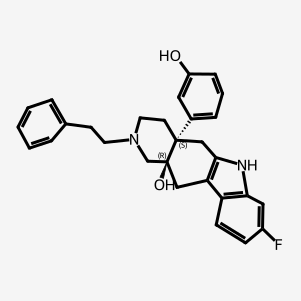 Oc1cccc([C@@]23CCN(CCc4ccccc4)C[C@@]2(O)Cc2c([nH]c4cc(F)ccc24)C3)c1